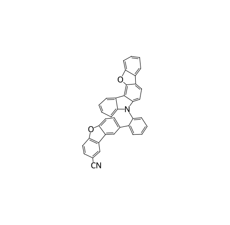 N#Cc1ccc2oc3ccc(-c4ccccc4-n4c5ccccc5c5c6oc7ccccc7c6ccc54)cc3c2c1